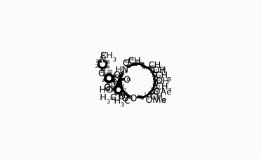 CO[C@H]1/C=C/O[C@@]2(C)Oc3c(C)c(O)c4c(=O)c(c5oc6cc(OC7CCN(C)CC7)cc(O)c6nc-5c4c3C2=O)NC(=O)/C(C)=C\C=C\[C@H](C)[C@H](O)[C@@H](C)[C@@H](O)[C@@H](C)[C@H](OC(C)=O)[C@@H]1C